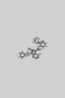 Cc1ncnc2c1c(NCc1cccnc1N1CCOCC1)cc(=O)n2OCc1ccccc1